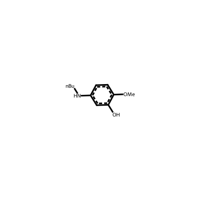 CCCCNc1ccc(OC)c(O)c1